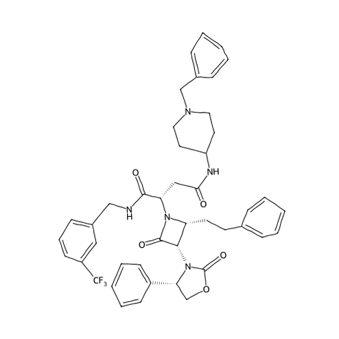 O=C(C[C@@H](C(=O)NCc1cccc(C(F)(F)F)c1)N1C(=O)[C@@H](N2C(=O)OC[C@@H]2c2ccccc2)[C@H]1CCc1ccccc1)NC1CCN(Cc2ccccc2)CC1